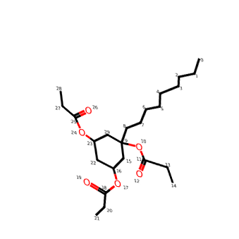 CCCCCCCCCC1(OC(=O)CC)CC(OC(=O)CC)CC(OC(=O)CC)C1